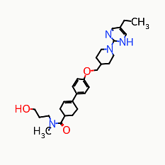 CCC1=CNC(N2CCC(COc3ccc(C4=CCC(C(=O)N(C)CCCO)CC4)cc3)CC2)N=C1